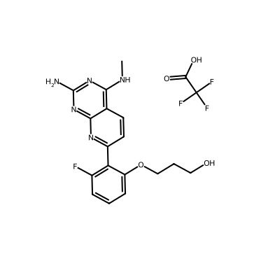 CNc1nc(N)nc2nc(-c3c(F)cccc3OCCCO)ccc12.O=C(O)C(F)(F)F